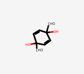 O=CC1(O)C=CC(O)(C=O)C=C1